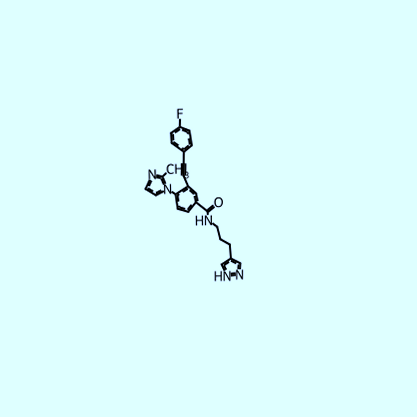 Cc1nccn1-c1ccc(C(=O)NCCCc2cn[nH]c2)cc1C#Cc1ccc(F)cc1